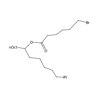 CCCCCCCCC(CCCCCC(C)C)OC(=O)CCCCCBr